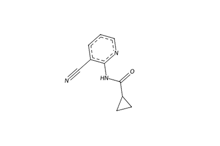 N#Cc1cccnc1NC(=O)C1CC1